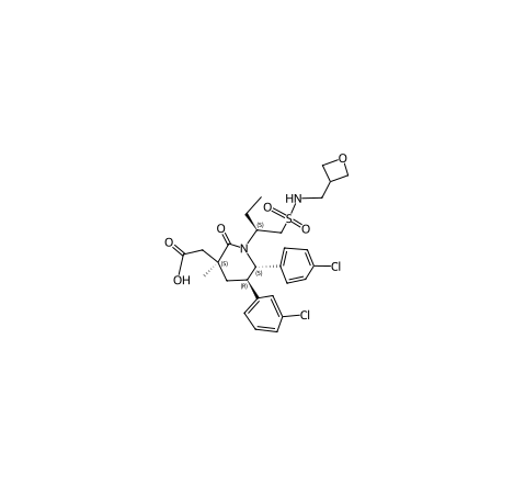 CC[C@@H](CS(=O)(=O)NCC1COC1)N1C(=O)[C@](C)(CC(=O)O)C[C@H](c2cccc(Cl)c2)[C@H]1c1ccc(Cl)cc1